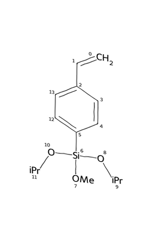 C=Cc1ccc([Si](OC)(OC(C)C)OC(C)C)cc1